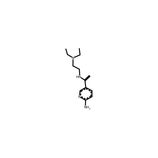 C=C(NCCN(CC)CC)c1ccc(N)nc1